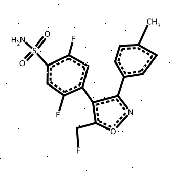 Cc1ccc(-c2noc(CF)c2-c2cc(F)c(S(N)(=O)=O)cc2F)cc1